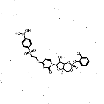 O=c1nc(OCCS(=O)(=O)c2ccc(N(O)O)cc2)ccn1[C@@H]1O[C@@H]2COP(=S)(Oc3ccccc3Cl)OC2C1O